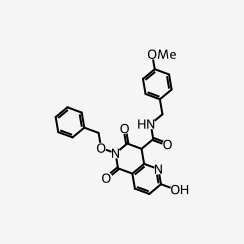 COc1ccc(CNC(=O)C2C(=O)N(OCc3ccccc3)C(=O)c3ccc(O)nc32)cc1